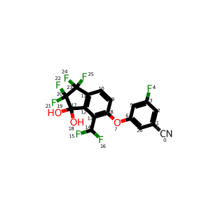 N#Cc1cc(F)cc(Oc2ccc3c(c2C(F)F)C(O)(O)C(F)(F)C3(F)F)c1